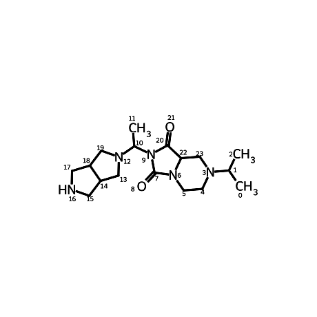 CC(C)N1CCN2C(=O)N(C(C)N3CC4CNCC4C3)C(=O)C2C1